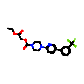 CCOC(=O)COC(=O)N1CCN(c2ccc(-c3cccc(C(F)(F)F)c3)cn2)CC1